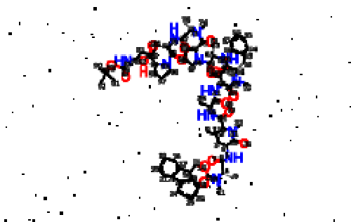 CC(C)C[C@H](NC(=O)[C@H](C)N(C)C(=O)OCC1c2ccccc2-c2ccccc21)C(=O)N(C)CC(=O)N[C@@H](C)C(=O)N[C@@H](CC(C)C)C(=O)N(C)[C@@H](Cc1ccccc1)C(=O)N[C@@H](C)C(=O)N1CCC[C@H]1C(=O)N(C)[C@@H](C)C(=O)N[C@@H](CCCCNC(=O)OC(C)(C)C)C(=O)N1CCC[C@H]1C(=O)O